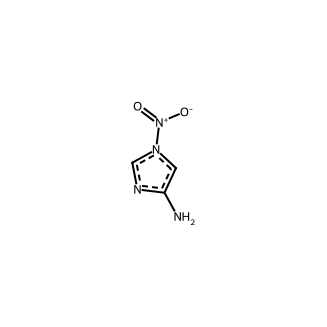 Nc1cn([N+](=O)[O-])cn1